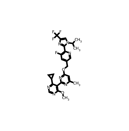 COc1ncnc(C2CC2)c1-c1nc(C)cc(OCc2cnc(-c3nc(C(F)(F)F)cn3C(C)C)c(F)c2)n1